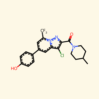 CC1CCN(C(=O)c2nn3c(C(F)(F)F)cc(-c4ccc(O)cc4)cc3c2Cl)CC1